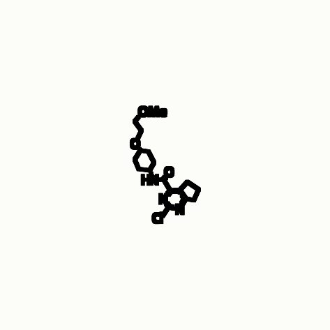 COCCO[C@H]1CC[C@H](NC(=O)c2nc(Cl)nc3c2CCC3)CC1